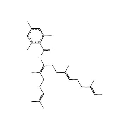 C/C=C(\C)CC/C=C(\C)CC/C(OC(=O)c1c(C)cc(C)cc1C)=C(/C)CCC=C(C)C